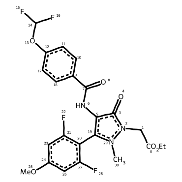 CCOC(=O)Cn1c(=O)c(NC(=O)c2ccc(OC(F)F)cc2)c(-c2c(F)cc(OC)cc2F)n1C